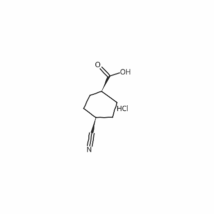 Cl.N#C[C@H]1CC[C@@H](C(=O)O)CC1